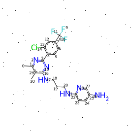 Cc1nc(-c2ccc(C(F)(F)F)cc2Cl)nc(NCCCNc2ccc(N)cn2)c1C